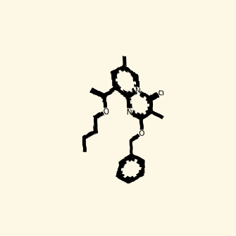 C=C(OCCCC)c1cc(C)cn2c(=O)c(C)c(OCc3ccccc3)nc12